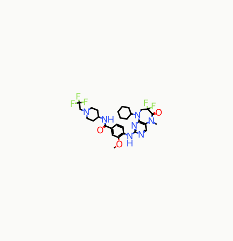 COc1cc(C(=O)NC2CCN(CC(F)(F)F)CC2)ccc1Nc1ncc2c(n1)N(C1CCCCC1)CC(F)(F)C(=O)N2C